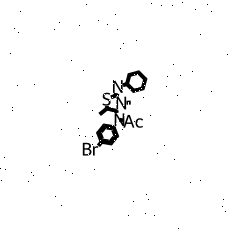 CC(=O)N(c1ccc(Br)cc1)C1C(C)SC(=NC2CCCCC2)N1C